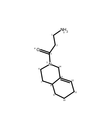 NCCC(=O)N1CCC2CCCC=C2C1